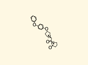 O=C1CCCN1C(=O)CN1CCC(Oc2ccc(Oc3ccccc3)cc2)C1